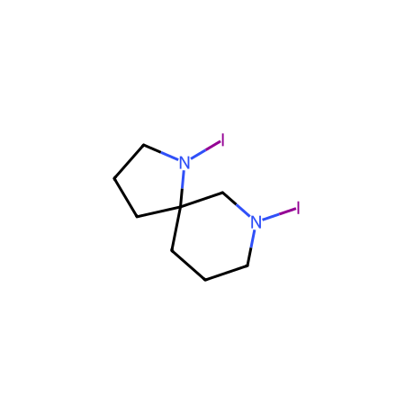 IN1CCCC2(CCCN2I)C1